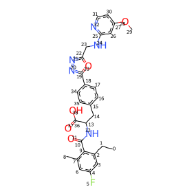 CCc1cc(F)cc(C)c1C(=O)NC(Cc1ccc(-c2nnc(CNc3cc(OC)ccn3)o2)cc1)C(=O)O